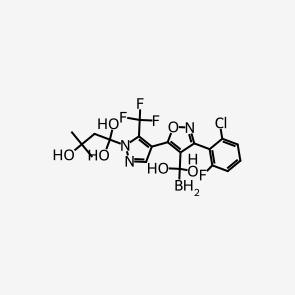 BC(O)(O)c1c(-c2c(F)cccc2Cl)noc1-c1cnn(C(O)(O)CC(C)(C)O)c1C(F)(F)F